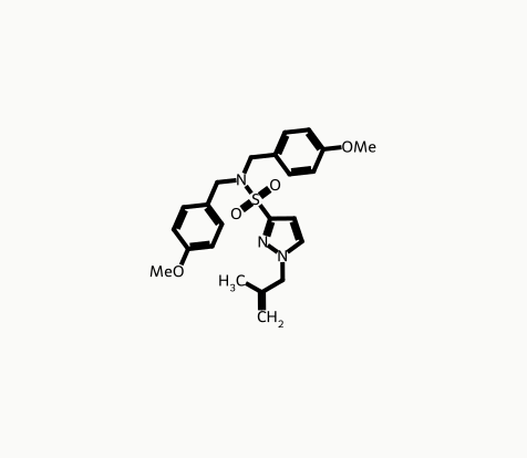 C=C(C)Cn1ccc(S(=O)(=O)N(Cc2ccc(OC)cc2)Cc2ccc(OC)cc2)n1